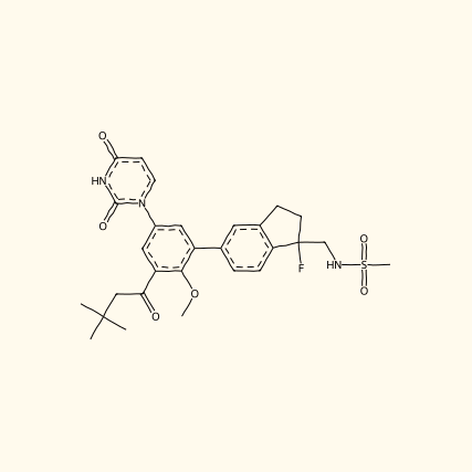 COc1c(C(=O)CC(C)(C)C)cc(-n2ccc(=O)[nH]c2=O)cc1-c1ccc2c(c1)CCC2(F)CNS(C)(=O)=O